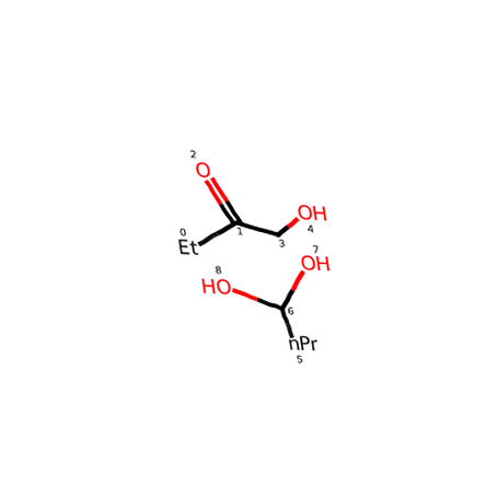 CCC(=O)CO.CCCC(O)O